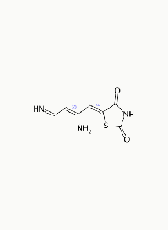 N=C/C=C(N)/C=C1\SC(=O)NC1=O